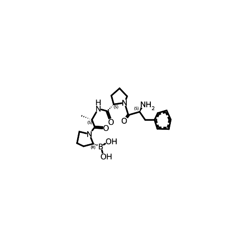 C[C@H](NC(=O)[C@@H]1CCCN1C(=O)[C@@H](N)Cc1ccccc1)C(=O)N1CCC[C@H]1B(O)O